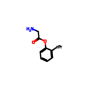 CCCc1ccccc1OC(=O)CN